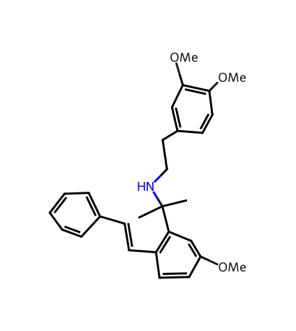 COc1ccc(C=Cc2ccccc2)c(C(C)(C)NCCc2ccc(OC)c(OC)c2)c1